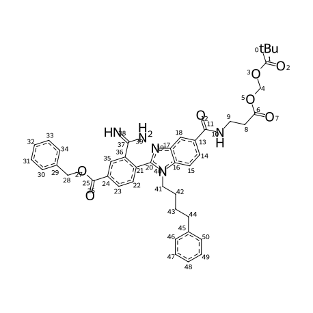 CC(C)(C)C(=O)OCOC(=O)CCNC(=O)c1ccc2c(c1)nc(-c1ccc(C(=O)OCc3ccccc3)cc1C(=N)N)n2CCCCc1ccccc1